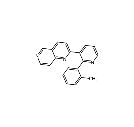 Cc1ccccc1-c1ncccc1-c1ccc2cnccc2n1